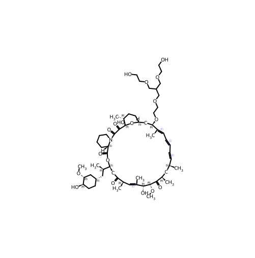 CO[C@@H]1C[C@H](C[C@@H](C)[C@@H]2CC(=O)[C@H](C)/C=C(\C)[C@@H](O)[C@@H](OC)C(=O)[C@H](C)C[C@H](C)/C=C/C=C/C=C(\C)[C@H](OCCOCC(COCCO)COCCO)C[C@@H]3CC[C@@H](C)[C@@](O)(O3)C(=O)C(=O)N3CCCC[C@H]3C(=O)O2)CC[C@H]1O